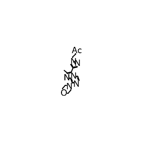 CC(=O)CCn1cc(-c2c(C)nc3c(N4CCOCC4)nccn23)cn1